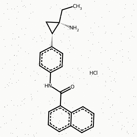 CC[C@]1(N)C[C@H]1c1ccc(NC(=O)c2cccc3ccccc23)cc1.Cl